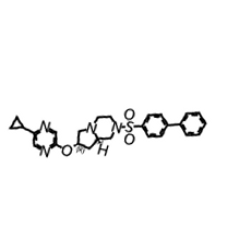 O=S(=O)(c1ccc(-c2ccccc2)cc1)N1CCN2C[C@H](Oc3cnc(C4CC4)cn3)C[C@H]2C1